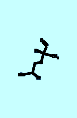 CCCCC(CC)COC(C)(CC)P=O